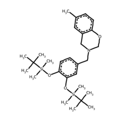 Cc1ccc2c(c1)CN(Cc1ccc(O[Si](C)(C)C(C)(C)C)c(O[Si](C)(C)C(C)(C)C)c1)CO2